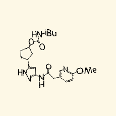 CC[C@H](C)NC(=O)O[C@@H]1CC[C@H](c2cc(NC(=O)Cc3ccc(OC)nc3)n[nH]2)C1